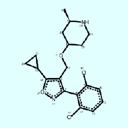 C[C@@H]1CC(OCc2c(-c3c(Cl)cccc3Cl)noc2C2CC2)CCN1